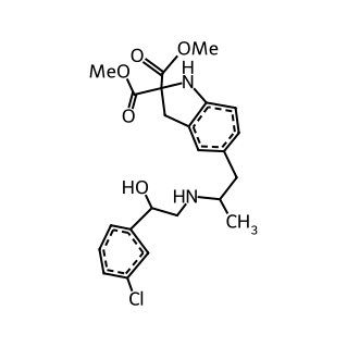 COC(=O)C1(C(=O)OC)Cc2cc(CC(C)NCC(O)c3cccc(Cl)c3)ccc2N1